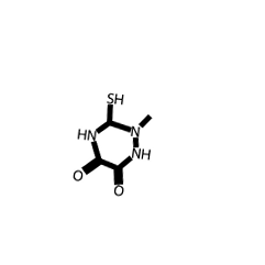 CN1NC(=O)C(=O)NC1S